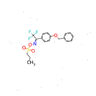 CCCS(=O)(=O)ON=C(c1ccc(OCc2ccccc2)cc1)C(F)(F)F